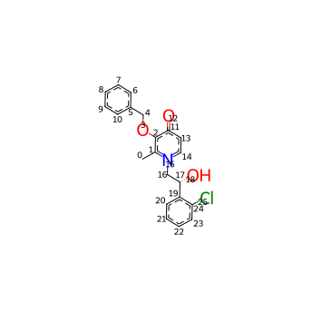 Cc1c(OCc2ccccc2)c(=O)ccn1C[C@H](O)c1ccccc1Cl